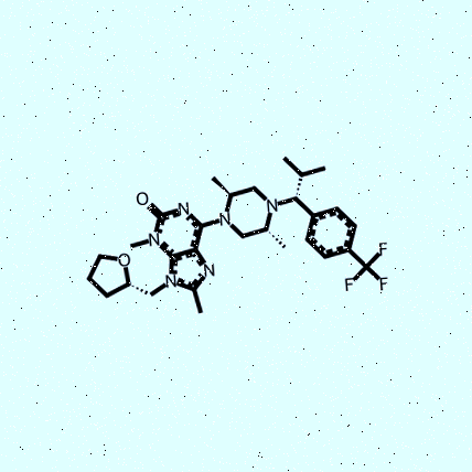 Cc1nc2c(N3C[C@@H](C)N([C@@H](c4ccc(C(F)(F)F)cc4)C(C)C)C[C@@H]3C)nc(=O)n(C)c2n1C[C@@H]1CCCO1